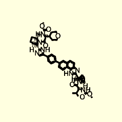 COC(=O)N[C@H](C(=O)N1[C@H](c2nc3ccc4cc(-c5ccc(-c6cnc([C@@H]7[C@H]8CC[C@H](C8)N7C(=O)[C@@H](NC(=O)OC)C7CCOCC7)[nH]6)cc5)ccc4c3[nH]2)C2C3[C@H]2[C@@H]31)C(C)C